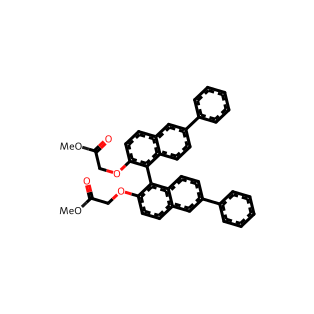 COC(=O)COc1ccc2cc(-c3ccccc3)ccc2c1-c1c(OCC(=O)OC)ccc2cc(-c3ccccc3)ccc12